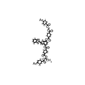 CC(=O)C1CCC(C(=O)OCOC(=O)C2CCC(C(=O)Oc3ccc(OC(=O)C4CCC(C(=O)OC(C)OC(=O)C5CCC(C(C)=O)CC5)CC4)c4nc(-c5nc6ccccc6s5)sc34)CC2)CC1